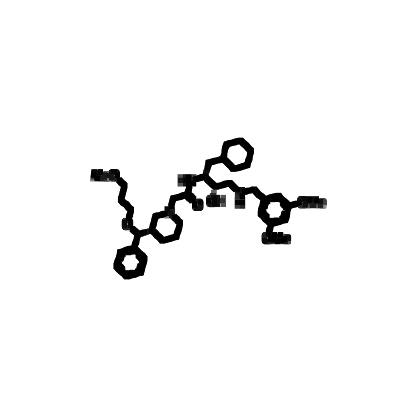 COCCCOC(c1ccccc1)[C@@H]1CCCN(CC(=O)N[C@@H](CC2CCCCC2)[C@@H](O)CNCc2cc(OC)cc(OC)c2)C1